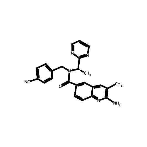 Cc1cc2cc(C(=O)N(Cc3ccc(C#N)cc3)[C@H](C)c3ncccn3)ccc2nc1N